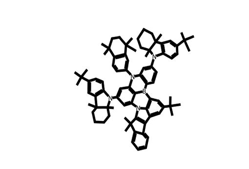 CC(C)(C)c1ccc2c(c1)C1(C)CCCCC1(C)N2c1ccc2c(c1)N(c1ccc3c(c1)C(C)(C)CCC3(C)C)c1cc(N3c4ccc(C(C)(C)C)cc4C4(C)CCCCC34C)cc3c1B2c1cc(C(C)(C)C)cc2c4c(n-3c12)C(C)(C)c1ccccc1-4